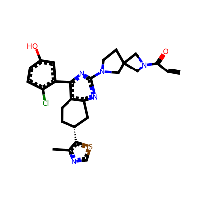 C=CC(=O)N1CC2(CCN(c3nc4c(c(-c5cc(O)ccc5Cl)n3)CC[C@@H](c3scnc3C)C4)C2)C1